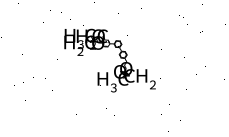 C=C/C=C(\C=C/COC(=O)C(=C)C)c1cccc(-c2ccc(CCOC(=O)C(=C)C)cc2)c1